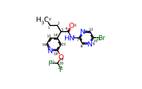 CCCC(C(=O)Nc1cnc(Br)cn1)c1ccnc(OC(F)F)c1